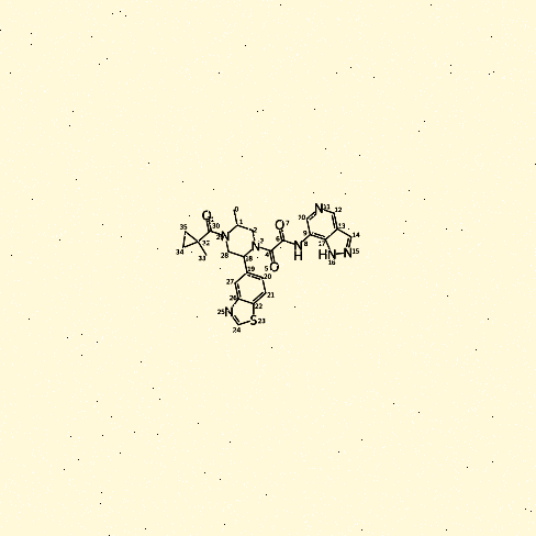 CC1CN(C(=O)C(=O)Nc2cncc3cn[nH]c23)C(c2ccc3scnc3c2)CN1C(=O)C1(C)CC1